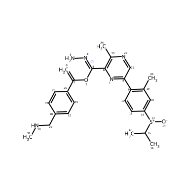 C=C(O/C(=N\N)c1nc(-c2ccc([S+]([O-])C(C)C)cc2C)cnc1C)c1ccc(CNC)cc1